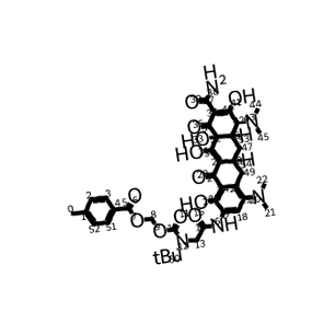 Cc1ccc(C(=O)OCOC(=O)N(CC(=O)Nc2cc(N(C)C)c3c(c2O)C(=O)C2=C(O)[C@]4(O)C(=O)C(C(N)=O)=C(O)[C@@H](N(C)C)[C@@H]4C[C@@H]2C3)C(C)(C)C)cc1